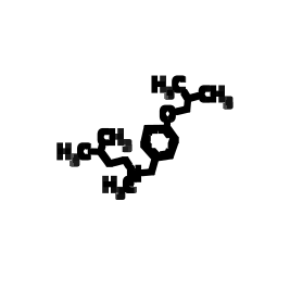 CC(C)CCN(C)Cc1ccc(OCC(C)C)cc1